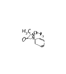 CC1C(=O)[CH]N(c2ccccc2)N1C